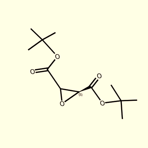 CC(C)(C)OC(=O)C1O[C@@H]1C(=O)OC(C)(C)C